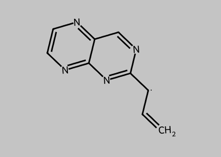 C=C[CH]c1ncc2nccnc2n1